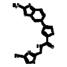 CC(C)c1csc(CNC(=O)c2cc(-c3ccc4nc(N)nn4c3)cs2)n1